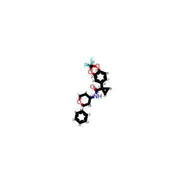 O=C(NC1CCO[C@@H](c2ccccc2)C1)C1(c2ccc3c(c2)OC(F)(F)O3)CC1